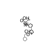 CC(CC1CCCCC1)Oc1cccc(-c2cccc(-n3ncc(C(=O)O)c3C3CC3)c2)c1